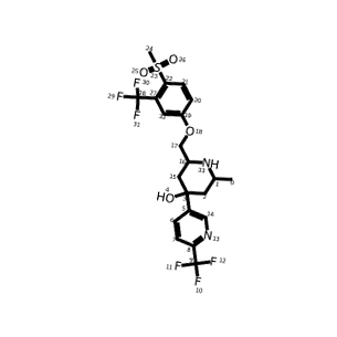 CC1CC(O)(c2ccc(C(F)(F)F)nc2)CC(COc2ccc(S(C)(=O)=O)c(C(F)(F)F)c2)N1